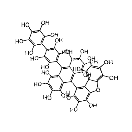 Oc1c(O)c(O)c(-c2c(O)c(O)c(-c3c4c(O)c(O)c(O)c(O)c4c(-c4c(O)c(O)c(O)c5oc6c(O)c(O)c(O)c(O)c6c45)c4c(O)c(O)c(O)c(O)c34)c(O)c2O)c(O)c1O